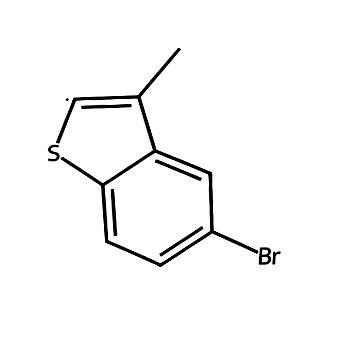 Cc1[c]sc2ccc(Br)cc12